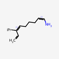 C=C/C(=C\CCC/C=C\N)C(C)C